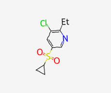 CCc1ncc(S(=O)(=O)C2CC2)cc1Cl